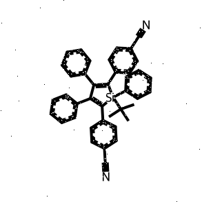 CC(C)(C)[Si]1(c2ccccc2)C(c2ccc(C#N)cc2)=C(c2ccccc2)C(c2ccccc2)=C1c1ccc(C#N)cc1